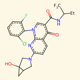 CCC(NC(=O)c1cn(-c2c(F)cccc2Cl)c2nc(N3CC4CC4(O)C3)ccc2c1=O)C(F)(F)F